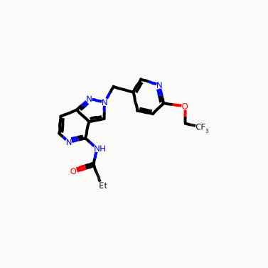 CCC(=O)Nc1nccc2nn(Cc3ccc(OCC(F)(F)F)nc3)cc12